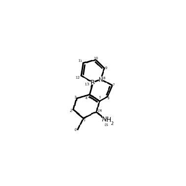 CC1CCC2=C(C=CN3C=CC=CB23)C1N